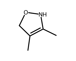 CC1=C(C)NOC1